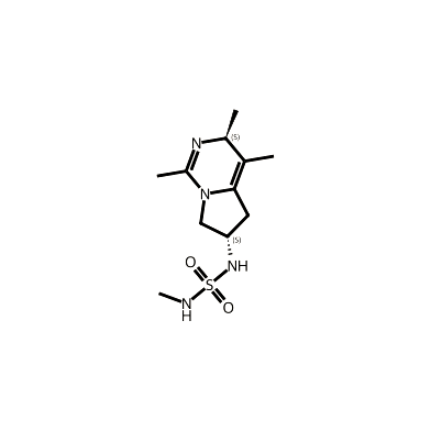 CNS(=O)(=O)N[C@H]1CC2=C(C)[C@H](C)N=C(C)N2C1